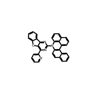 c1ccc(-c2nc(N3c4ccc5ccccc5c4-c4cccc5cccc3c45)nc3c2oc2ccccc23)nc1